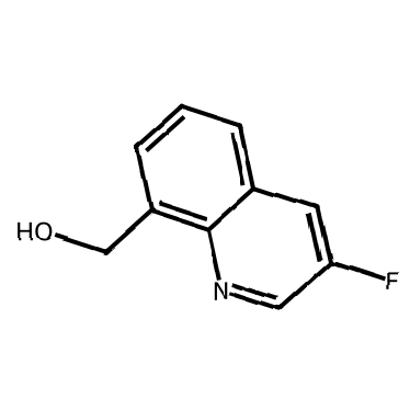 OCc1cccc2cc(F)cnc12